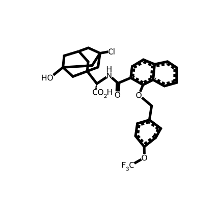 O=C(N[C@H](C(=O)O)C12CC3CC(O)(CC(Cl)(C3)C1)C2)c1ccc2ccccc2c1OCc1ccc(OC(F)(F)F)cc1